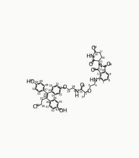 CC(OCCNc1cccc2c1C(=O)N(C1CCC(=O)NC1=O)C2=O)C(=O)NCCOc1ccc(C(=C(CCCl)c2ccc(O)cc2)c2ccc(O)cc2)cc1